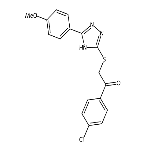 COc1ccc(-c2nnc(SCC(=O)c3ccc(Cl)cc3)[nH]2)cc1